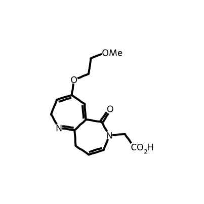 COCCOC1=CCN=C2CC=CN(CC(=O)O)C(=O)C2=C1